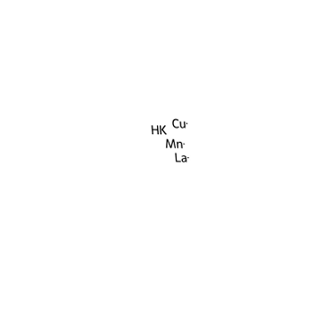 [Cu].[KH].[La].[Mn]